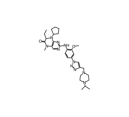 CCC1C(=O)N(C)c2cnc(Nc3ccc(-n4cc(CN5CCN(C(C)C)CC5)nn4)cc3OC)nc2N1C1CCCC1